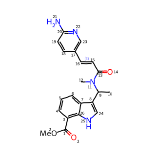 COC(=O)c1cccc2c(C(C)N(C)C(=O)/C=C/c3ccc(N)nc3)c[nH]c12